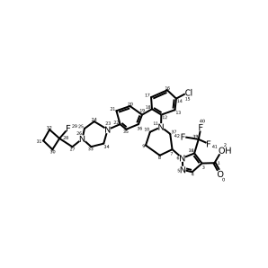 O=C(O)c1cnn(C2CCCN(c3cc(Cl)ccc3-c3ccc(N4CCN(CC5(F)CCC5)CC4)cc3)C2)c1C(F)(F)F